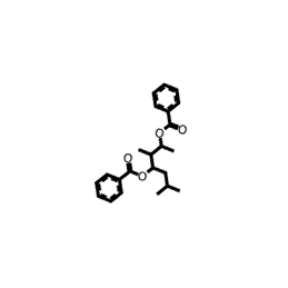 CC(C)CC(OC(=O)c1ccccc1)C(C)C(C)OC(=O)c1ccccc1